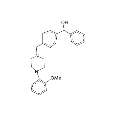 COc1ccccc1N1CCN(Cc2ccc(C(O)c3ccccc3)cc2)CC1